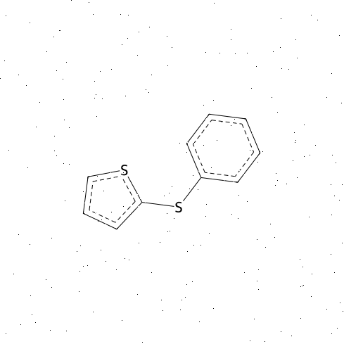 c1ccc(Sc2cccs2)cc1